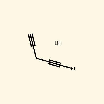 [C]#CCC#CCC.[LiH]